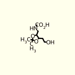 CC1(C)OC(CCO)C(CNC(=O)O)O1